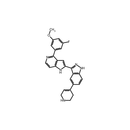 COc1cc(F)cc(-c2nccc3[nH]c(-c4n[nH]c5ccc(C6=CCNCC6)cc45)cc23)c1